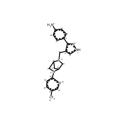 Nc1ccc(-c2n[nH]cc2CN2CC3CC2CN3c2ccc(C(F)(F)F)cn2)cc1